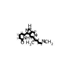 C=N/C=C\C=C(/C)c1cc2c(-c3cccc(=O)[nH]3)n[nH]c2cn1